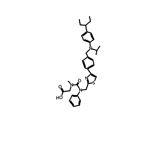 CCC(CC)c1ccc(N(Cc2ccc(-c3csc(CN(C(=O)N(C)CC(=O)O)c4ccccc4)n3)cc2)C(C)C)cc1